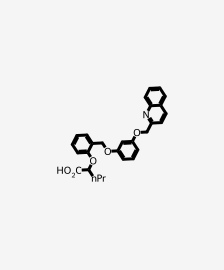 CCCC(Oc1ccccc1COc1cccc(OCc2ccc3ccccc3n2)c1)C(=O)O